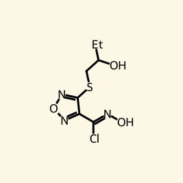 CCC(O)CSc1nonc1/C(Cl)=N/O